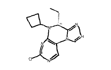 CC[C@@H]1c2nncn2-c2cnc(Cl)nc2N1C1CCC1